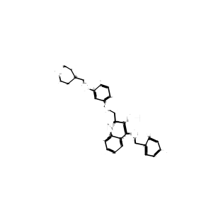 Cc1c(CSc2cccc(OCC3CCOCC3)c2)nc2ccccc2c1OCc1ccccc1